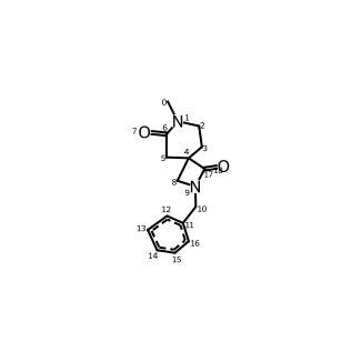 CN1CCC2(CC1=O)CN(Cc1ccccc1)C2=O